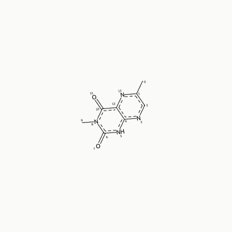 Cc1cnc2[nH]c(=O)n(C)c(=O)c2n1